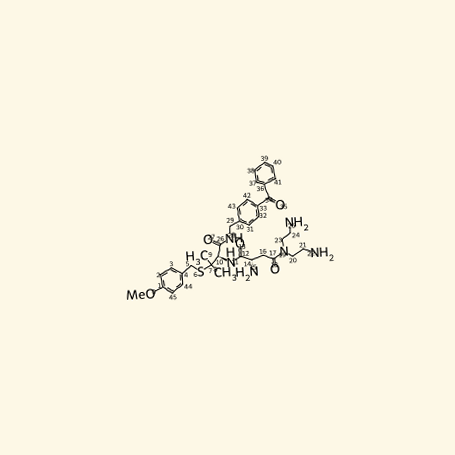 COc1ccc(CSC(C)(C)[C@H](NC(=O)[C@@H](N)CC(=O)N(CCN)CCN)C(=O)NCc2ccc(C(=O)c3ccccc3)cc2)cc1